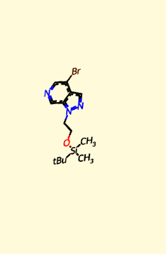 CC(C)(C)[Si](C)(C)OCCn1ncc2c(Br)cncc21